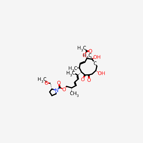 COC[C@H]1CCCN1C(=O)OC[C@@H](C)/C=C/C=C(\C)[C@H]1C(=O)C(=O)C[C@@H](O)CC[C@](C)(O)[C@@H](OC(C)=O)/C=C/[C@@H]1C